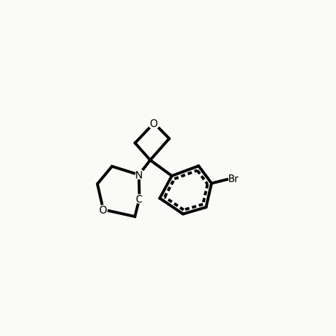 Brc1cccc(C2(N3CCOCC3)COC2)c1